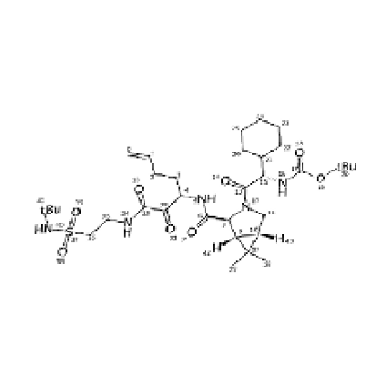 C=CCCC(NC(=O)[C@@H]1[C@@H]2[C@H](CN1C(=O)[C@@H](NC(=O)OC(C)(C)C)C1CCCCC1)C2(C)C)C(=O)C(=O)NCCS(=O)(=O)NC(C)(C)C